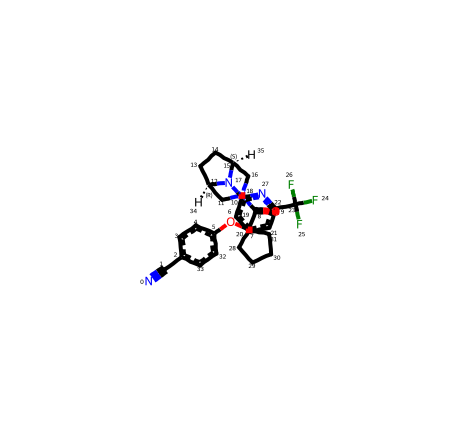 N#Cc1ccc(OC2(C(=O)N3C[C@H]4CC[C@@H](C3)N4c3cccc(C(F)(F)F)n3)CCCC2)cc1